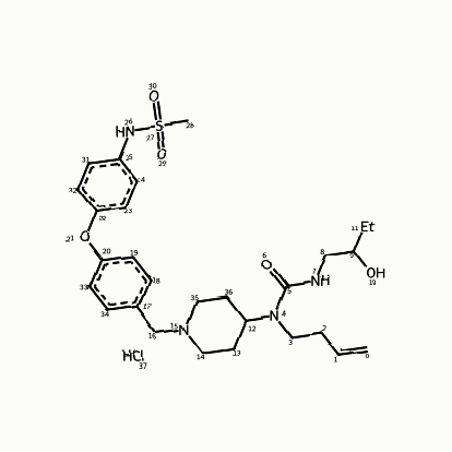 C=CCCN(C(=O)NCC(O)CC)C1CCN(Cc2ccc(Oc3ccc(NS(C)(=O)=O)cc3)cc2)CC1.Cl